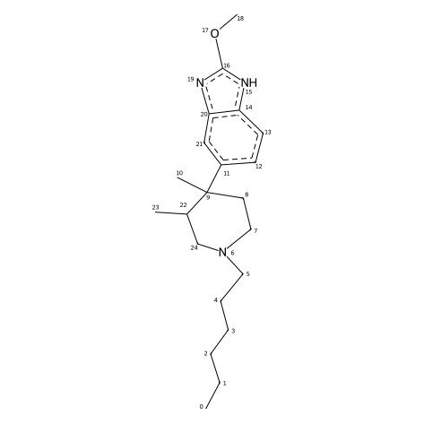 CCCCCCN1CCC(C)(c2ccc3[nH]c(OC)nc3c2)C(C)C1